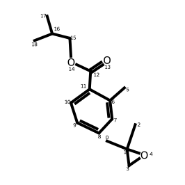 CC1(C)CO1.Cc1ccccc1C(=O)OCC(C)C